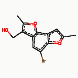 Cc1cc2c(o1)c(Br)cc1c(CO)c(C)oc12